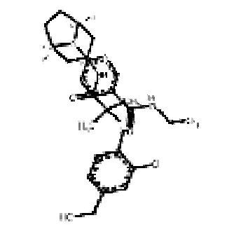 CC(C)(Oc1ccc(CO)cc1Cl)C(=O)N[C@H]1C[C@H]2CC[C@@H](C1)N2c1ccc(C(=O)NCC(F)(F)F)cn1